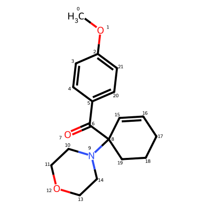 COc1ccc(C(=O)C2(N3CCOCC3)C=CCCC2)cc1